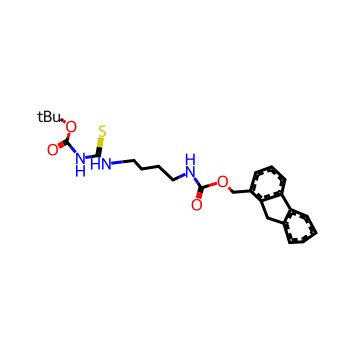 CC(C)(C)OC(=O)NC(=S)NCCCCNC(=O)OCc1cccc2c1Cc1ccccc1-2